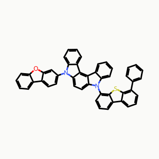 c1ccc(-c2cccc3c2sc2c(-n4c5ccccc5c5c6c7ccccc7n(-c7ccc8c(c7)oc7ccccc78)c6ccc54)cccc23)cc1